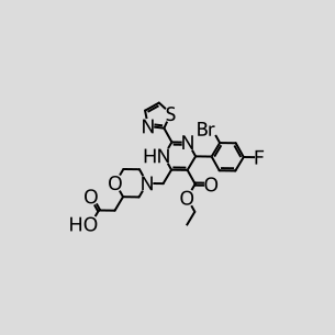 CCOC(=O)C1=C(CN2CCOC(CC(=O)O)C2)NC(c2nccs2)=NC1c1ccc(F)cc1Br